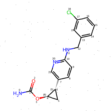 NC(=O)O[C@@H]1C[C@H]1c1ccc(NCc2cccc(Cl)c2)nc1